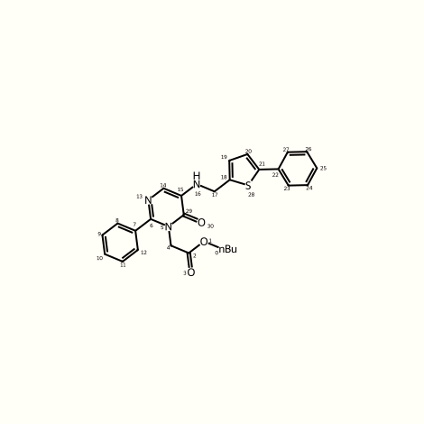 CCCCOC(=O)Cn1c(-c2ccccc2)ncc(NCc2ccc(-c3ccccc3)s2)c1=O